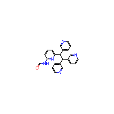 O=CNc1cccc(C(c2cccnc2)C(c2cccnc2)c2cccnc2)n1